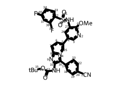 COc1ncc(-c2ccc3nc(NC(=O)OC(C)(C)C)c(-c4ccc(C#N)cc4)n3c2)cc1NS(=O)(=O)c1ccc(F)cc1F